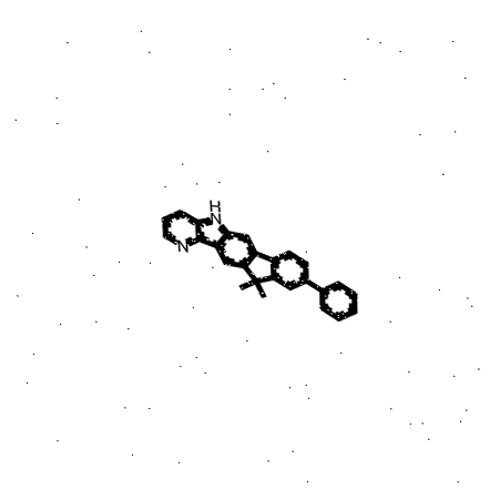 CC1(C)c2cc(-c3ccccc3)ccc2-c2cc3[nH]c4cccnc4c3cc21